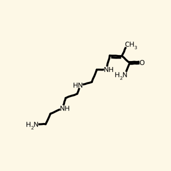 CC(=CNCCNCCNCCN)C(N)=O